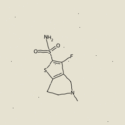 CN1CCc2sc(S(N)(=O)=O)c(F)c2C1